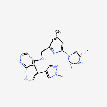 C[C@@H]1CN(c2cc(C(F)(F)F)cc(CNc3ccnc4[nH]cc(-c5cnn(C)c5)c34)n2)C[C@H](C)N1